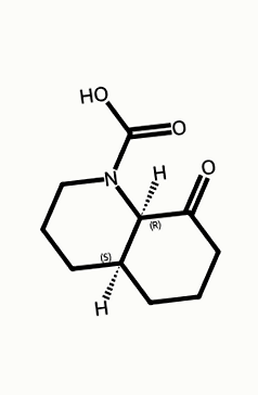 O=C1CCC[C@H]2CCCN(C(=O)O)[C@@H]12